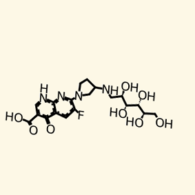 O=C(O)c1c[nH]c2nc(N3CCC(NC[C@@H](O)[C@@H](O)[C@H](O)[C@H](O)CO)C3)c(F)cc2c1=O